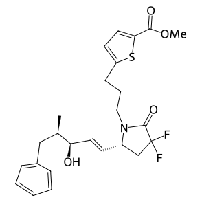 COC(=O)c1ccc(CCCN2C(=O)C(F)(F)C[C@@H]2/C=C/[C@@H](O)[C@H](C)Cc2ccccc2)s1